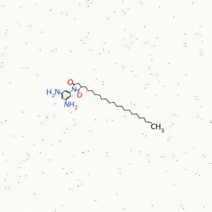 CCCCCCCCCCCCCCCCCCCCC1CC(=O)N(c2cc(N)cc(N)c2)C1=O